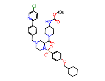 CC(C)(C)OC(=O)NC1CCN(C(=O)[C@@H]2CN(Cc3ccc(-c4ccc(Cl)cn4)cc3)CCN2S(=O)(=O)c2ccc(OCC3CCCCC3)cc2)CC1